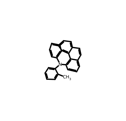 Cc1ccccc1N(c1ccccc1)c1cccc2ccc3ccccc3c12